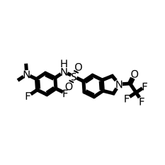 CN(C)c1cc(NS(=O)(=O)c2ccc3c(c2)CN(C(=O)C(F)(F)F)C3)c(F)cc1F